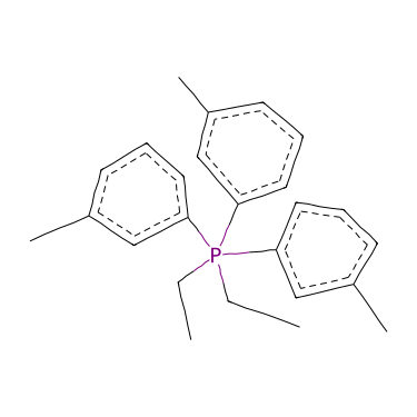 CCP(CC)(c1cccc(C)c1)(c1cccc(C)c1)c1cccc(C)c1